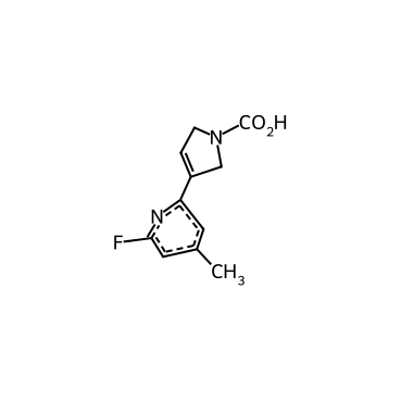 Cc1cc(F)nc(C2=CCN(C(=O)O)C2)c1